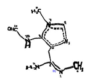 C/N=C(/N)c1ncn(C)c1NC=O